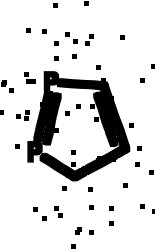 C1=CP=PC1